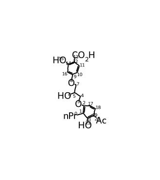 CCCc1c(OCC(O)COc2ccc(C(=O)O)c(O)c2)ccc(C(C)=O)c1O